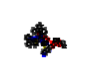 CCC(CC)OC(=O)OC(C)OC(=O)C1=C(/C=C\c2cccnc2)CS[C@@H]2[C@H](NC(=O)/C(=N/OC(c3ccccc3)(c3ccccc3)c3ccccc3)c3csc(NC(c4ccccc4)(c4ccccc4)c4ccccc4)n3)C(=O)N12